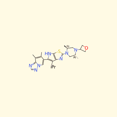 Cc1c(-c2[nH]c3sc(N4C[C@@H](C)N(C5COC5)C[C@@H]4C)nc3c2C(C)C)cn2ncnc2c1C